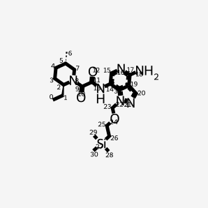 CC[C@H]1CC[C@H](C)CN1C(=O)C(=O)Nc1cnc(N)c2cnn(COCC[Si](C)(C)C)c12